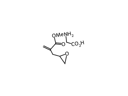 C=C(CC1CO1)C(=O)OC.NCC(=O)O